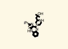 CC(C)c1nc2c(s1)Nc1ccccc1N=C2N1CCNC(CC(C)(C)O)C1